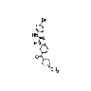 CN1CCC(C(=O)c2cccc(NC(=S)Nc3ccc(Br)cc3)c2)CC1